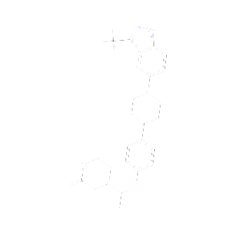 CC(Oc1ccc(C2CCN(c3ccc4nnc(C(F)(F)F)n4n3)CC2)cc1)N1CC[N]C(=O)C1